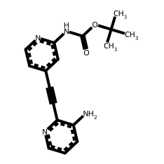 CC(C)(C)OC(=O)Nc1cc(C#Cc2ncccc2N)ccn1